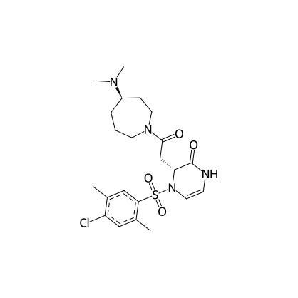 Cc1cc(S(=O)(=O)N2C=CNC(=O)[C@H]2CC(=O)N2CCC[C@@H](N(C)C)CC2)c(C)cc1Cl